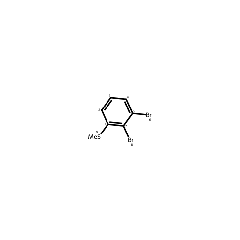 CSc1cccc(Br)c1Br